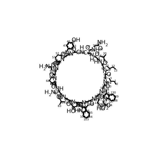 CCCC[C@H]1C(=O)N(C)[C@@H](CCCC)C(=O)N[C@@H](CC(C)C)C(=O)N[C@H](C(=O)NCC(N)=O)CNCC(=O)N[C@@H](Cc2ccc(O)cc2)C(=O)N2CCCC[C@H]2C(=O)N[C@@H](CC(N)=O)C(=O)N2CCC[C@H]2C(=O)N[C@@H](CN)C(=O)N[C@@H](CC(C)C)C(=O)N2C[C@H](O)C[C@H]2C(=O)N[C@@H](Cc2c[nH]c3ccccc23)C(=O)N[C@@H](CCN)C(=O)N[C@@H](Cc2cn(CC(=O)O)c3ccccc23)C(=O)N1C